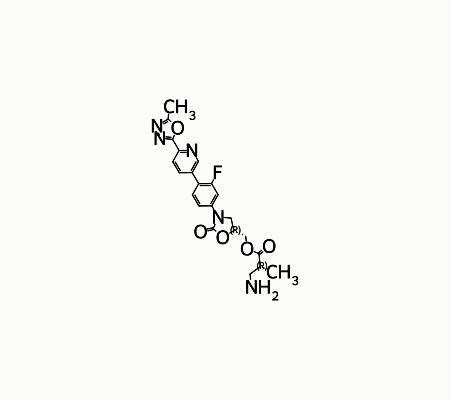 Cc1nnc(-c2ccc(-c3ccc(N4C[C@H](COC(=O)[C@H](C)CN)OC4=O)cc3F)cn2)o1